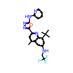 Cc1cc(-c2nnc(Nc3ccccn3)o2)nc2c(C(C)(C)C)cc(NCC(F)(F)F)cc12